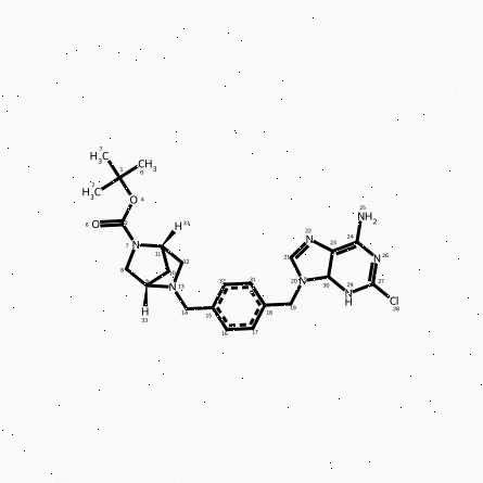 CC(C)(C)OC(=O)N1C[C@@H]2C[C@H]1CN2Cc1ccc(CN2C=NC3=C(N)N=C(Cl)NC32)cc1